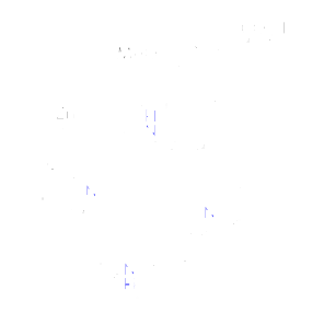 COc1cc(C(=O)O)ccc1-c1cc2cc3nc(cc4ccc(cc5nc(cc1[nH]2)C=C5)[nH]4)C=C3.[Zn]